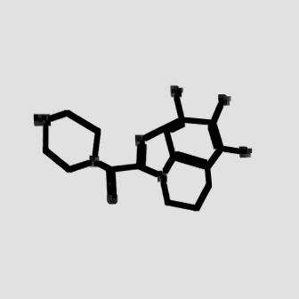 O=C(c1nc2c(Br)c(Br)c(Br)c3c2n1CCC3)N1CCNCC1